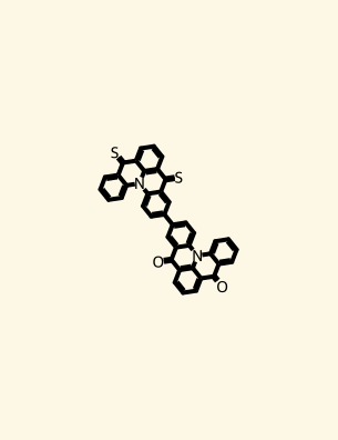 O=c1c2ccccc2n2c3ccc(-c4ccc5c(c4)c(=S)c4cccc6c(=S)c7ccccc7n5c64)cc3c(=O)c3cccc1c32